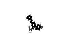 CCc1ccc(C2(O)CCC(CCc3ccccc3)CC2CN(C)C)cc1